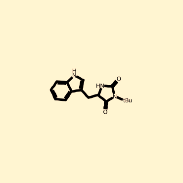 CC(C)(C)N1C(=O)NC(Cc2c[nH]c3ccccc23)C1=O